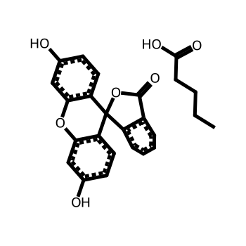 CCCCC(=O)O.O=C1OC2(c3ccc(O)cc3Oc3cc(O)ccc32)c2ccccc21